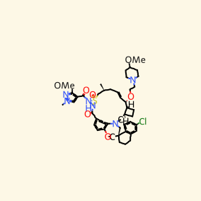 COc1nn(C)cc1C(=O)N[S@@]1(=O)=NC(=O)c2ccc3c(c2)N(C[C@@H]2CC[C@H]2[C@@H](OCCN2CCC(OC)CC2)/C=C/C[C@H](C)C1)C[C@@]1(CCCc2cc(Cl)ccc21)CO3